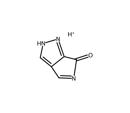 O=C1N=Cc2c[nH]nc21.[H+]